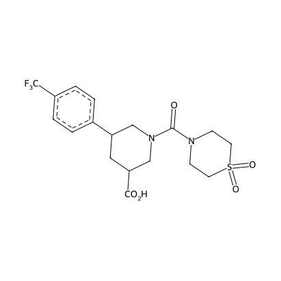 O=C(O)C1CC(c2ccc(C(F)(F)F)cc2)CN(C(=O)N2CCS(=O)(=O)CC2)C1